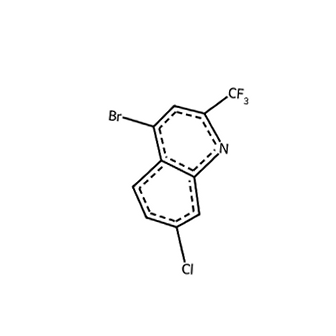 FC(F)(F)c1cc(Br)c2ccc(Cl)cc2n1